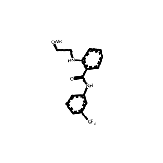 COCCNc1ccccc1C(=O)Nc1cccc(C(F)(F)F)c1